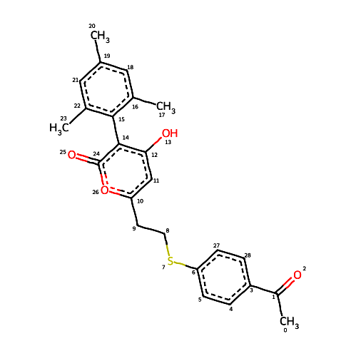 CC(=O)c1ccc(SCCc2cc(O)c(-c3c(C)cc(C)cc3C)c(=O)o2)cc1